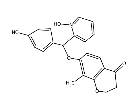 Cc1c(OC(c2ccc(C#N)cc2)c2cccc[n+]2O)ccc2c1OCCC2=O